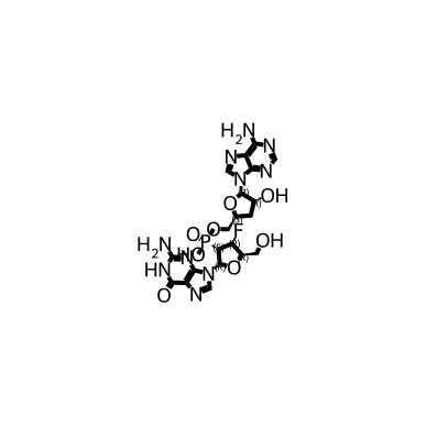 Nc1nc2c(ncn2[C@@H]2O[C@H](CO)[C@@H](F)[C@H]2P(=O)(O)OC[C@@H]2C[C@@H](O)[C@H](n3cnc4c(N)ncnc43)O2)c(=O)[nH]1